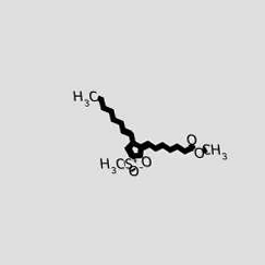 CCCCCC/C=C/C1C=C([S+](C)[O-])C(=O)/C1=C\CCCCCC(=O)OC